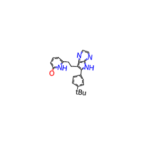 CC(C)(C)c1ccc(-c2[nH]c3nccnc3c2CCc2cccc(=O)[nH]2)cc1